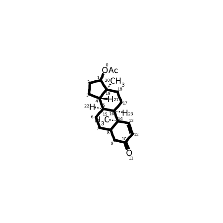 CC(=O)OC1CC[C@H]2[C@@H]3CCC4CC(=O)C=C[C@]4(C)[C@@H]3CC[C@]12C